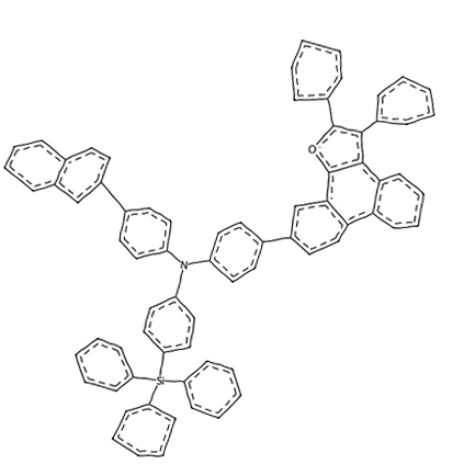 c1ccc(-c2oc3c4cc(-c5ccc(N(c6ccc(-c7ccc8ccccc8c7)cc6)c6ccc([Si](c7ccccc7)(c7ccccc7)c7ccccc7)cc6)cc5)ccc4c4ccccc4c3c2-c2ccccc2)cc1